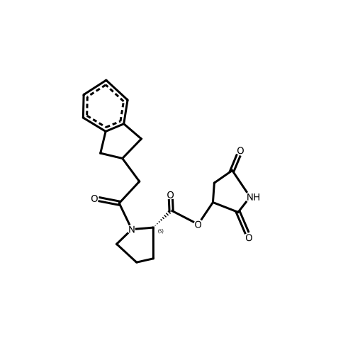 O=C1CC(OC(=O)[C@@H]2CCCN2C(=O)CC2Cc3ccccc3C2)C(=O)N1